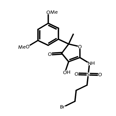 COc1cc(OC)cc(C2(C)OC(NS(=O)(=O)CCCBr)=C(O)C2=O)c1